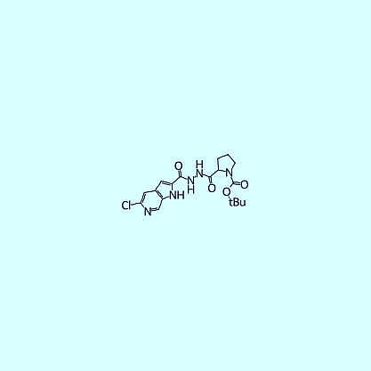 CC(C)(C)OC(=O)N1CCCC1C(=O)NNC(=O)c1cc2cc(Cl)ncc2[nH]1